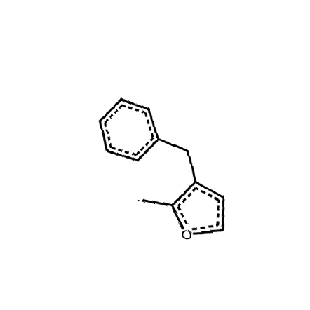 [CH2]c1occc1Cc1ccccc1